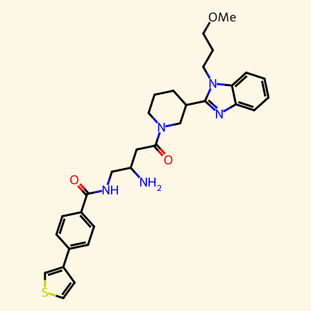 COCCCn1c(C2CCCN(C(=O)CC(N)CNC(=O)c3ccc(-c4ccsc4)cc3)C2)nc2ccccc21